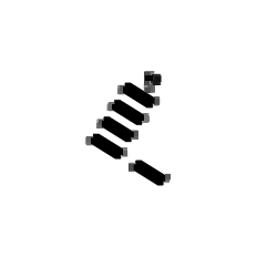 C=C.C=C.C=C.C=C.C=C.[Fe]